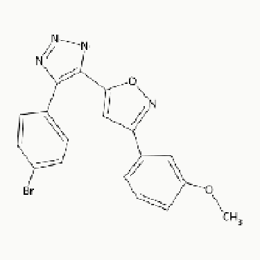 COc1cccc(-c2cc(C3=C(c4ccc(Br)cc4)N=N[N]3)on2)c1